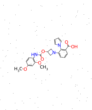 COc1ccc(NC(=O)OC2CN(c3cccc(C(=O)O)c3-n3cccc3)C2)c(OC)c1